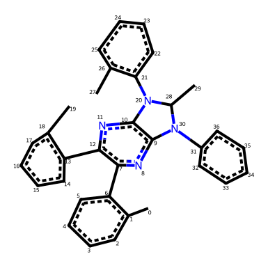 Cc1ccccc1-c1nc2c(nc1-c1ccccc1C)N(c1ccccc1C)C(C)N2c1ccccc1